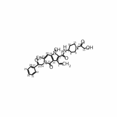 C=Cc1c(C(=O)NC2CCN(C(=O)CO)CC2)n(C)c2cc(CC)n(CC(=O)c3ccccc3)c(=O)c12